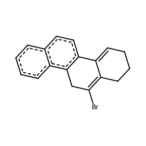 BrC1=C2CCCC=C2c2ccc3ccccc3c2C1